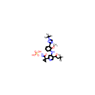 O=S(=O)(O)O.[2H]C([2H])([2H])CC(=O)c1cnc(C2(C(N)=O)CC2)cc1Nc1cccc(-c2ncn(C([2H])([2H])[2H])n2)c1OC